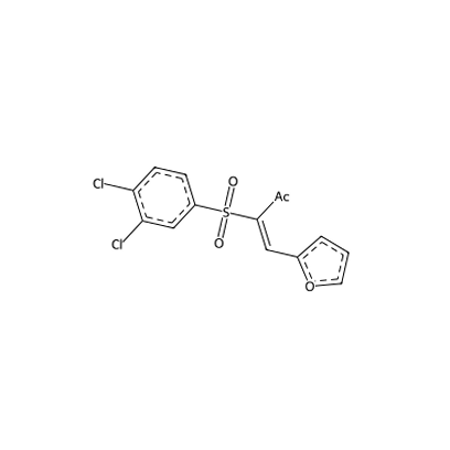 CC(=O)C(=Cc1ccco1)S(=O)(=O)c1ccc(Cl)c(Cl)c1